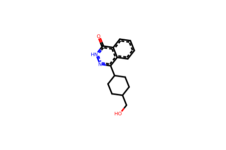 O=c1[nH]nc(C2CCC(CO)CC2)c2ccccc12